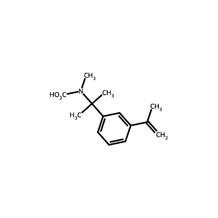 C=C(C)c1cccc(C(C)(C)N(C)C(=O)O)c1